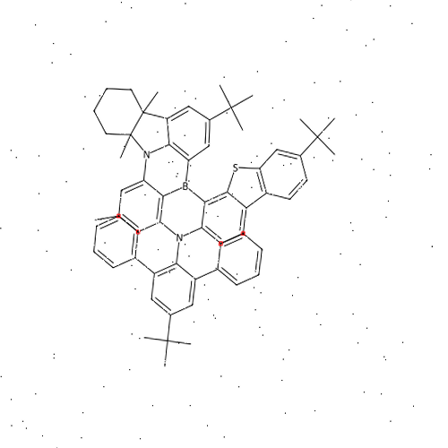 Cc1cc2c3c(c1)N1c4c(cc(C(C)(C)C)cc4C4(C)CCCCC14C)B3c1c(ccc3c1sc1cc(C(C)(C)C)ccc13)N2c1c(-c2ccccc2)cc(C(C)(C)C)cc1-c1ccccc1